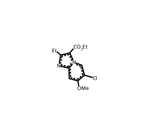 CCOC(=O)c1c(CC)nc2cc(OC)c(Cl)cn12